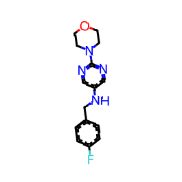 Fc1ccc(CNc2cnc(N3CCOCC3)nc2)cc1